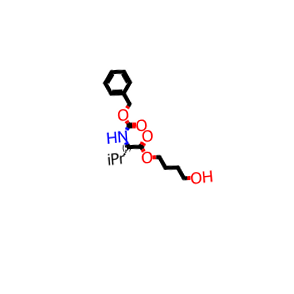 CC(C)[C@H](NC(=O)OCc1ccccc1)C(=O)OCCCCO